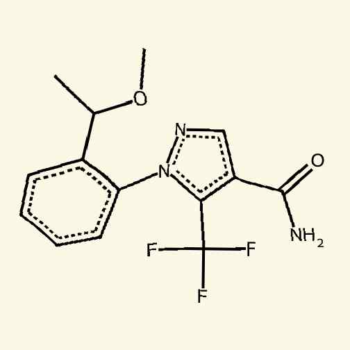 COC(C)c1ccccc1-n1ncc(C(N)=O)c1C(F)(F)F